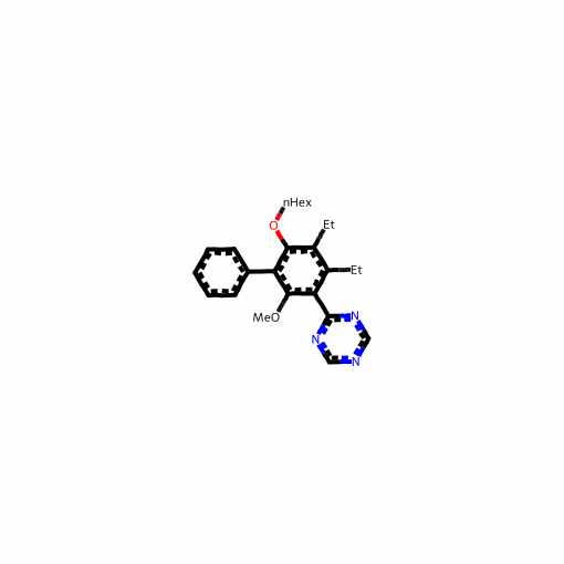 CCCCCCOc1c(CC)c(CC)c(-c2ncncn2)c(OC)c1-c1ccccc1